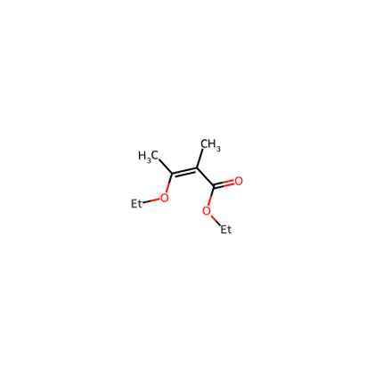 CCOC(=O)C(C)=C(C)OCC